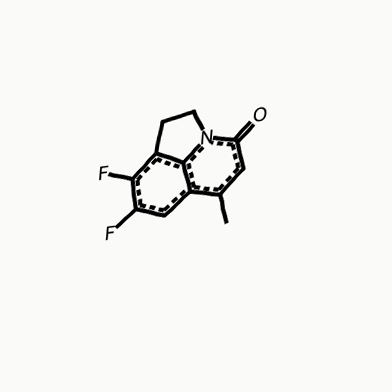 Cc1cc(=O)n2c3c(c(F)c(F)cc13)CC2